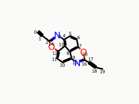 C#CC1=Nc2ccc3c4c(ccc(c24)O1)N=C(C#CC)O3